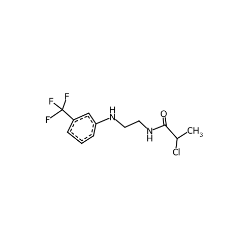 CC(Cl)C(=O)NCCNc1cccc(C(F)(F)F)c1